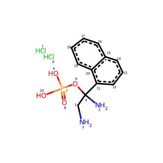 Cl.Cl.NCC(N)(OP(=O)(O)O)c1cccc2ccccc12